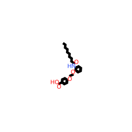 CCCCCCCCCC(=O)Nc1ccccc1OCCOc1ccc(C(=O)O)cc1